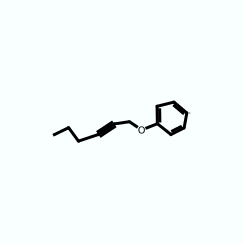 CCCC#CCOc1cc[c]cc1